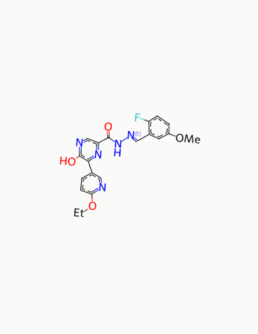 CCOc1ccc(-c2nc(C(=O)N/N=C/c3cc(OC)ccc3F)cnc2O)cn1